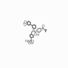 O=C(NO)c1ccc(CN(c2cccc(-c3ccc4c(c3)OCO4)c2)C(O)N2CCN(C(=O)C3CC3)CC2)cc1